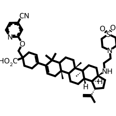 C=C(C)[C@H]1CC[C@@]2(NCCN3CCS(=O)(=O)CC3)CC[C@@]3(C)[C@@H](CCC4[C@]5(C)CC=C(C6=CCC(COc7cc(C#N)ccn7)(C(=O)O)CC6)C(C)(C)C5CC[C@@]43C)[C@H]12